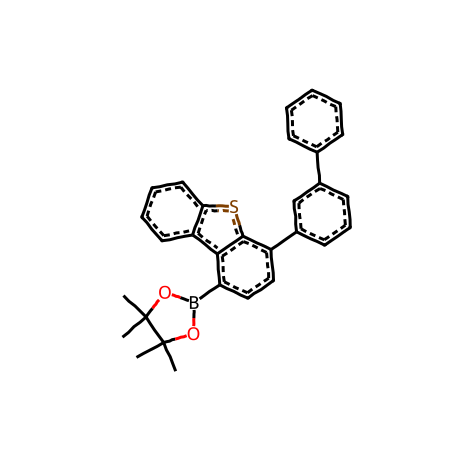 CC1(C)OB(c2ccc(-c3cccc(-c4ccccc4)c3)c3sc4ccccc4c23)OC1(C)C